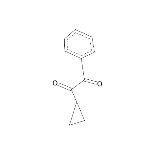 O=C(C(=O)C1CC1)c1ccccc1